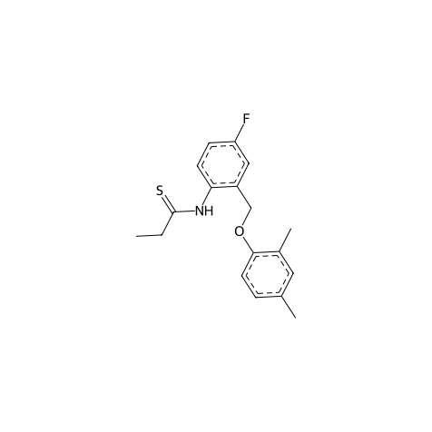 CCC(=S)Nc1ccc(F)cc1COc1ccc(C)cc1C